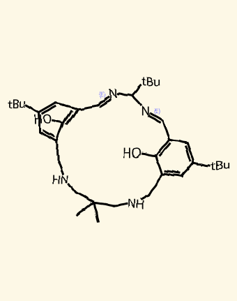 CC1(C)CNCc2cc(C(C)(C)C)cc(c2O)/C=N/C(C(C)(C)C)/N=C/c2cc(C(C)(C)C)cc(c2O)CNC1